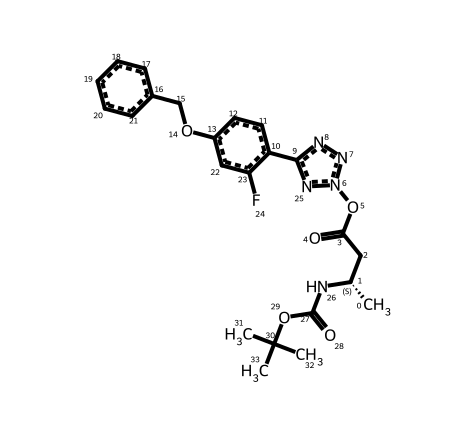 C[C@@H](CC(=O)On1nnc(-c2ccc(OCc3ccccc3)cc2F)n1)NC(=O)OC(C)(C)C